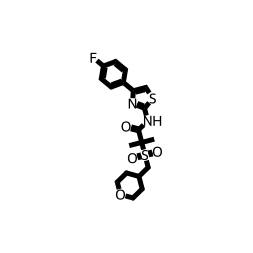 CC(C)(C(=O)Nc1nc(-c2ccc(F)cc2)cs1)S(=O)(=O)CC1CCOCC1